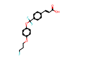 O=C(O)C=Cc1ccc(C(F)(F)Oc2ccc(OCCCF)cc2)cc1